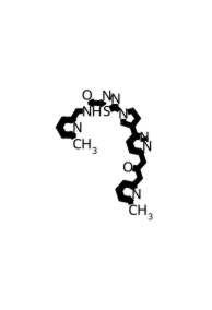 Cc1cccc(CNC(=O)c2nnc(N3CCC(c4ccc(CC(=O)Cc5cccc(C)n5)nn4)C3)s2)n1